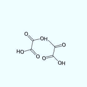 CC(=O)C(=O)O.O=C(O)C(=O)O